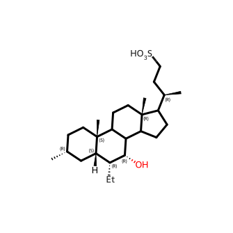 CC[C@H]1[C@@H](O)C2C3CCC([C@H](C)CCS(=O)(=O)O)[C@@]3(C)CCC2[C@@]2(C)CC[C@@H](C)C[C@@H]12